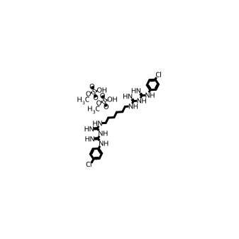 COS(=O)(=O)O.COS(=O)(=O)O.N=C(NCCCCCCNC(=N)NC(=N)Nc1ccc(Cl)cc1)NC(=N)Nc1ccc(Cl)cc1